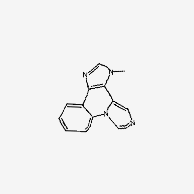 Cn1cnc2c3ccccc3n3cncc3c21